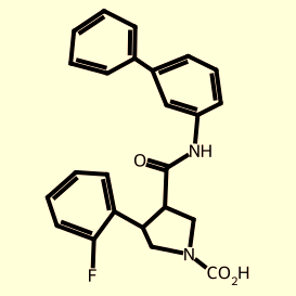 O=C(Nc1cccc(-c2ccccc2)c1)C1CN(C(=O)O)CC1c1ccccc1F